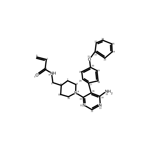 C=CC(=O)NCC1CCN(c2ncnc(N)c2-c2ccc(Oc3ccccc3)cc2)CC1